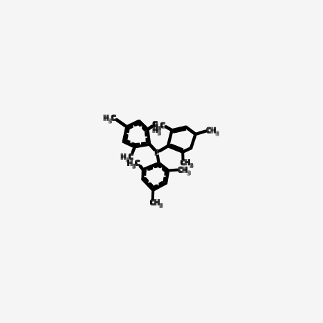 CC1=CC(C)CC(C)=C1P(c1c(C)cc(C)cc1C)c1c(C)cc(C)cc1C